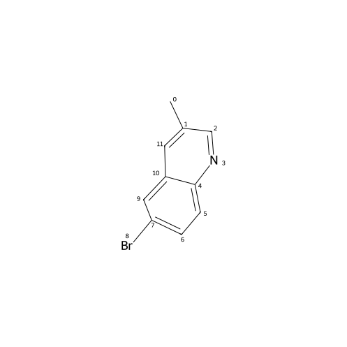 Cc1cnc2ccc(Br)cc2c1